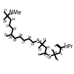 C=C(CCC)CC(C)(C)SC(C)CC(C)(C)SCCCCCC(C)CCCC(C)(C)NC